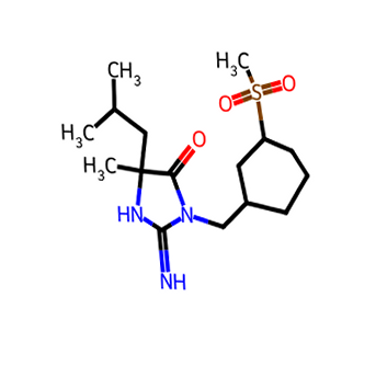 CC(C)CC1(C)NC(=N)N(CC2CCCC(S(C)(=O)=O)C2)C1=O